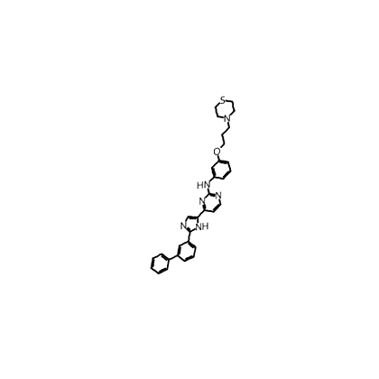 c1ccc(-c2cccc(-c3ncc(-c4ccnc(Nc5cccc(OCCCN6CCSCC6)c5)n4)[nH]3)c2)cc1